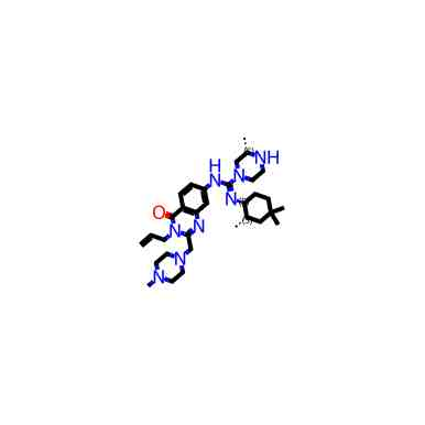 C=CCn1c(CN2CCN(C)CC2)nc2cc(NC(=N[C@H]3CCC(C)(C)C[C@@H]3C)N3CCN[C@@H](C)C3)ccc2c1=O